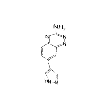 Nc1nnc2cc(-c3cn[nH]c3)ccc2n1